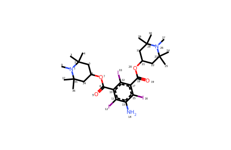 CN1C(C)(C)CC(OC(=O)c2c(I)c(N)c(I)c(C(=O)OC3CC(C)(C)N(C)C(C)(C)C3)c2I)CC1(C)C